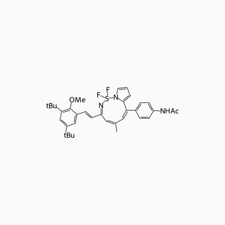 COc1c(/C=C/C2=NS(F)(F)n3cccc3/C(c3ccc(NC(C)=O)cc3)=C\C(C)=C/2)cc(C(C)(C)C)cc1C(C)(C)C